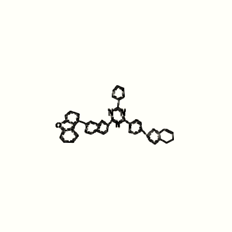 C1=Cc2cc(-c3ccc(-c4nc(-c5ccccc5)nc(-c5ccc6ccc(-c7cccc8oc9ccccc9c78)cc6c5)n4)cc3)ccc2CC1